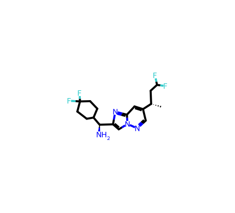 C[C@@H](CC(F)F)c1cnn2cc([C@@H](N)C3CCC(F)(F)CC3)nc2c1